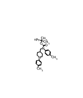 CCCC(C)(C)OC(=O)N(CC1CCN(c2ccc(C)cc2)CC1)c1ccc(C)cc1